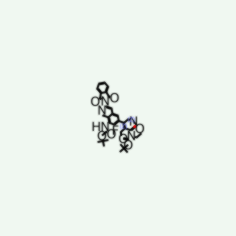 CC/C(C1=COCCN1C(=O)OC(C)(C)C)=C(/C=N\C)c1cc2cc(N3C(=O)c4ccccc4C3=O)ncc2c(NC(=O)OC(C)(C)C)c1F